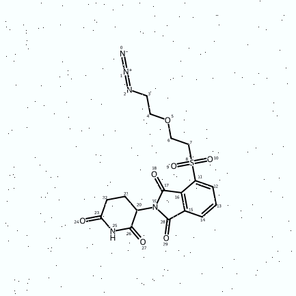 [N-]=[N+]=NCCOCCS(=O)(=O)c1cccc2c1C(=O)N(C1CCC(=O)NC1=O)C2=O